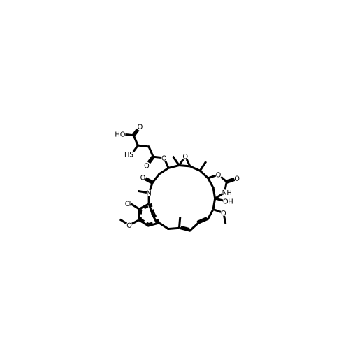 COc1cc2cc(c1Cl)N(C)C(=O)CC(OC(=O)CC(S)C(=O)O)C1(C)OC1C(C)C1CC(O)(NC(=O)O1)C(OC)/C=C/C=C(\C)C2